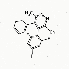 Cc1nnc(C#N)c(-c2c(F)cc(F)cc2F)c1C1=CC=CCC1